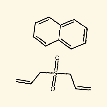 C=CCS(=O)(=O)CC=C.c1ccc2ccccc2c1